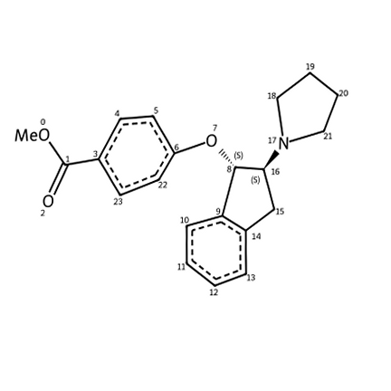 COC(=O)c1ccc(O[C@H]2c3ccccc3C[C@@H]2N2CCCC2)cc1